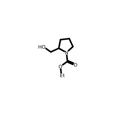 CCOC(=O)N1CCCC1CO